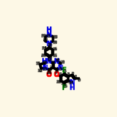 Cc1cc2c(F)c(Oc3ncnc(Nc4ccc(N5CCNCC5)cc4)c3C(=O)N3CCC3)cc(F)c2[nH]1